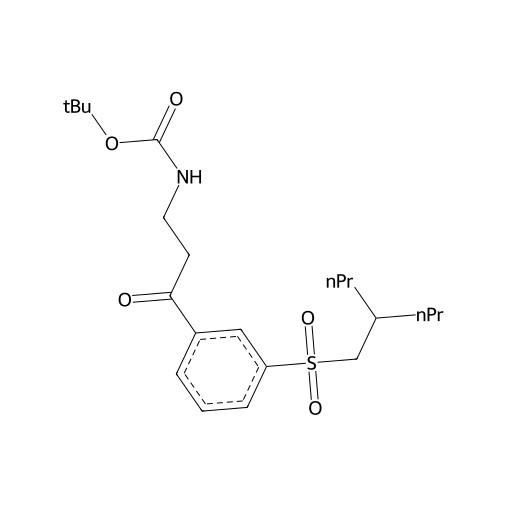 CCCC(CCC)CS(=O)(=O)c1cccc(C(=O)CCNC(=O)OC(C)(C)C)c1